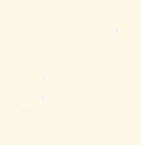 CC(=O)N1CCN(C(=O)C=Cc2ccc(Sc3ccccc3C#N)c(Cl)c2)CC1